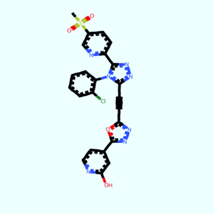 CS(=O)(=O)c1ccc(-c2nnc(C#Cc3nnc(-c4ccnc(O)c4)o3)n2-c2ccccc2Cl)nc1